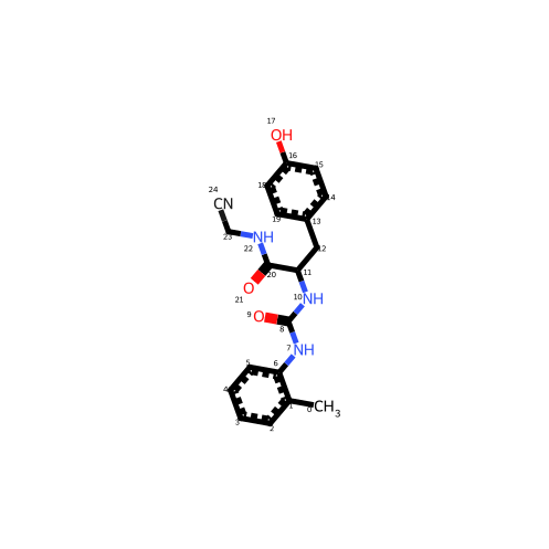 Cc1ccccc1NC(=O)NC(Cc1ccc(O)cc1)C(=O)NCC#N